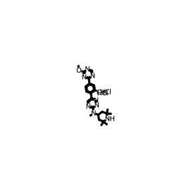 COc1ncnc(-c2ccc(-c3cnc(N(C)C4CC(C)(C)NC(C)(C)C4)nn3)c(O)c2)n1.Cl.Cl